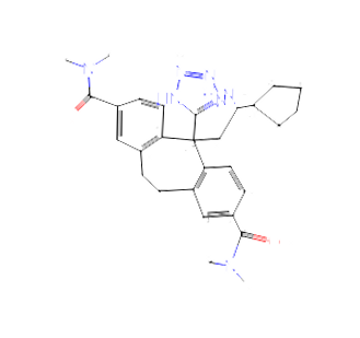 CN(C)C(=O)c1ccc2c(c1)CCc1cc(C(=O)N(C)C)ccc1C2(C[C@H](N)C1CCCC1)c1nnn[nH]1